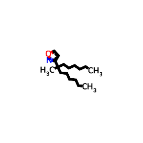 CCCCCCC(C)(CCCCCC)c1ccon1